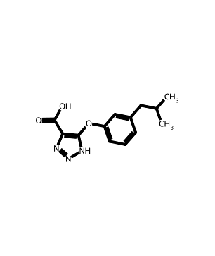 CC(C)Cc1cccc(Oc2[nH]nnc2C(=O)O)c1